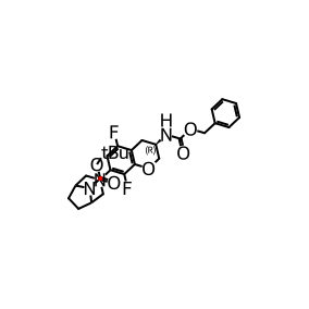 CC(C)(C)OC(=O)N1C2CCC1CN(c1cc(F)c3c(c1F)OC[C@H](NC(=O)OCc1ccccc1)C3)C2